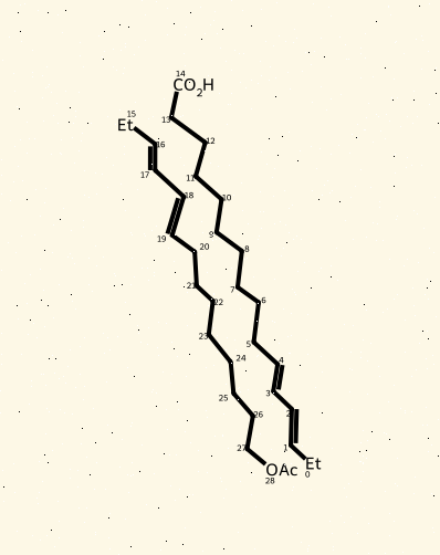 CC/C=C/C=C/CCCCCCCCCC(=O)O.CCC=CC=CCCCCCCCCOC(C)=O